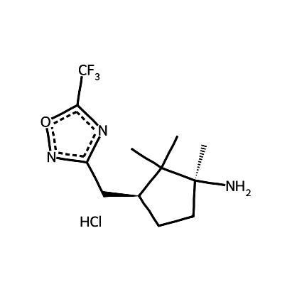 CC1(C)[C@H](Cc2noc(C(F)(F)F)n2)CC[C@]1(C)N.Cl